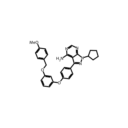 COc1ccc(COc2cccc(Oc3ccc(-c4nn(C5CCCC5)c5ncnc(N)c45)cc3)c2)cc1